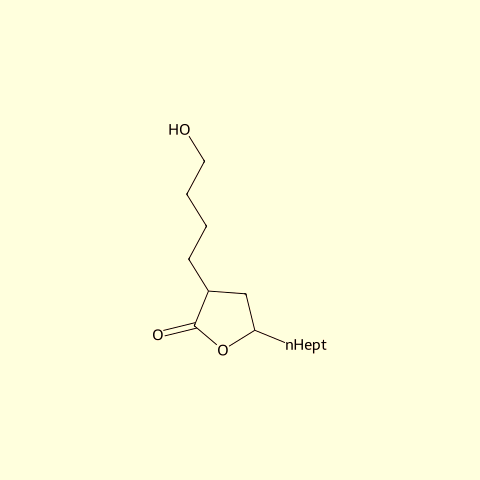 CCCCCCCC1CC(CCCCO)C(=O)O1